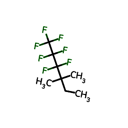 CCC(C)(C)C(F)(F)C(F)(F)C(F)(F)F